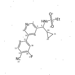 CCS(=O)(=O)NC(c1cncc(-c2ccc(C#N)c(F)c2)c1)C1CC1